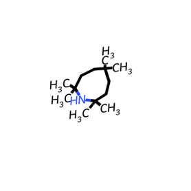 CC1(C)CCC(C)(C)NC(C)(C)CC1